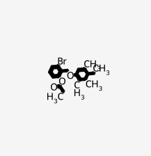 CCC(=O)Oc1cccc(Br)c1COC1=C(C)C(C)C(CC)C(C)=C1